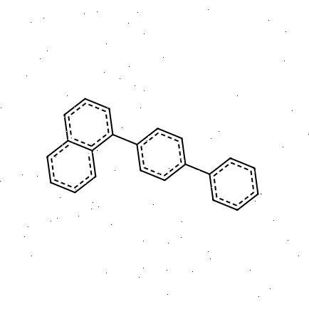 [c]1ccc(-c2ccc(-c3cccc4ccccc34)cc2)cc1